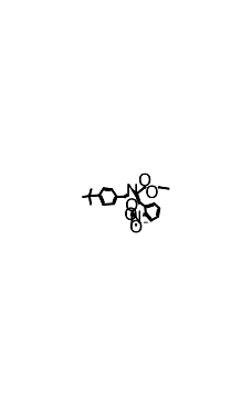 CCOC(=O)c1nc(-c2ccc(C(C)(C)C)cc2)oc1-c1ccccc1[N+](=O)[O-]